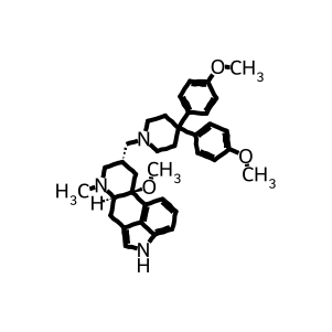 COc1ccc(C2(c3ccc(OC)cc3)CCN(C[C@H]3CN(C)[C@@H]4Cc5c[nH]c6cccc(c56)[C@@]4(OC)C3)CC2)cc1